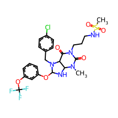 CN1C(=O)N(CCCNS(C)(=O)=O)C(=O)C2C1NC(Oc1cccc(OC(F)(F)F)c1)N2Cc1ccc(Cl)cc1